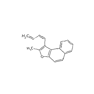 C=C/C=C\c1c(C)oc2ccc3ccccc3c12